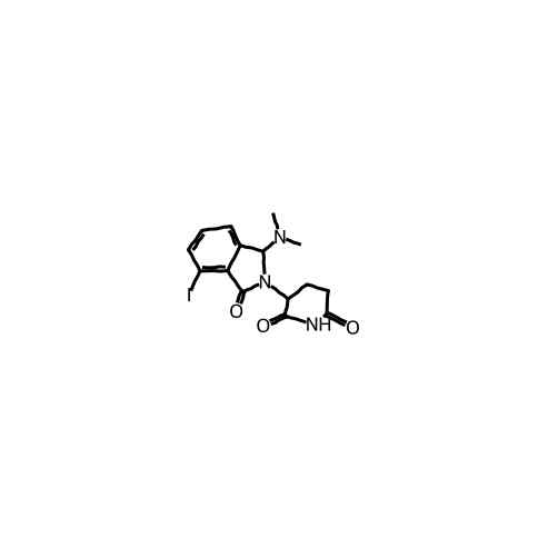 CN(C)C1c2cccc(I)c2C(=O)N1C1CCC(=O)NC1=O